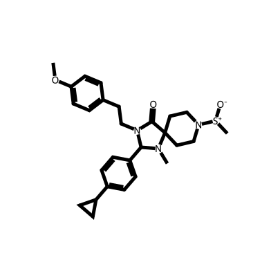 COc1ccc(CCN2C(=O)C3(CCN([S+](C)[O-])CC3)N(C)C2c2ccc(C3CC3)cc2)cc1